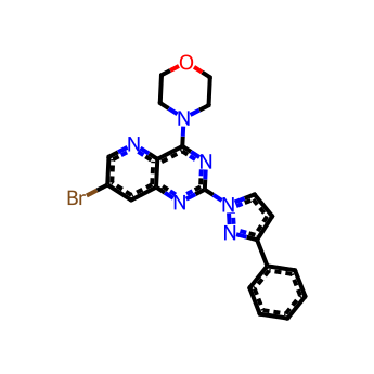 Brc1cnc2c(N3CCOCC3)nc(-n3ccc(-c4ccccc4)n3)nc2c1